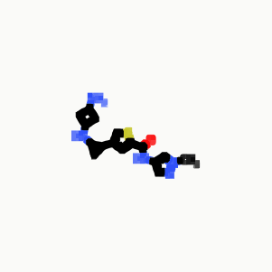 Cn1cc(NC(=O)c2cc(C3CC3NC3CC(N)C3)cs2)cn1